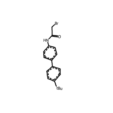 CC(C)(C)c1ccc(-c2ccc(NC(=O)CBr)cc2)cc1